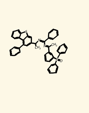 C/C(=N\C(=N/C(C)c1cc(-c2ccccc2)c2c(c1)sc1ccccc12)c1ccccc1)c1cccc(P(=O)(c2ccccc2)c2ccccc2)c1